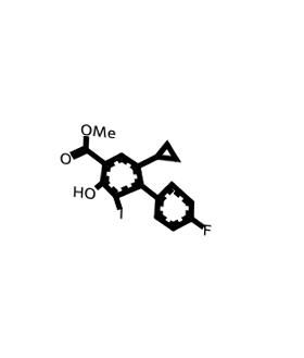 COC(=O)c1cc(C2CC2)c(-c2ccc(F)cc2)c(I)c1O